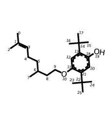 CC(C)=CCCC(C)CCOc1cc(C(C)(C)C)c(O)cc1C(C)(C)C